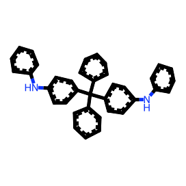 c1ccc(Nc2ccc(C(c3ccccc3)(c3ccccc3)c3ccc(Nc4ccccc4)cc3)cc2)cc1